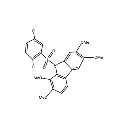 COc1cc2c3ccc(OC)c(OC)c3n(S(=O)(=O)c3cc(Cl)ccc3Cl)c2cc1OC